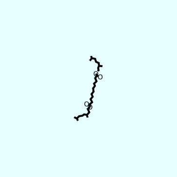 CC(C)CCCC(C)CCOC(=O)CCCCCCCCCCC(=O)OCCC(C)CCCC(C)C